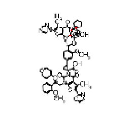 COc1cc(C2CC2(C(=O)O)n2c(=O)c3c(C)c(-c4ncco4)sc3n(C[C@H](OC3CCOCC3)c3ccccc3OC)c2=O)ccc1[C@H](Cn1c(=O)n(C2(C(=O)O)CCCC2)c(=O)c2c(C)c(-n3cncn3)sc21)OC1CCOCC1